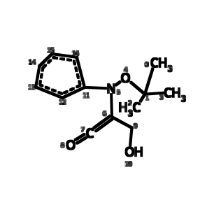 CC(C)(C)ON(C(=C=O)CO)c1ccccc1